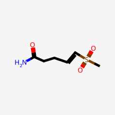 CS(=O)(=O)C=CCCC(N)=O